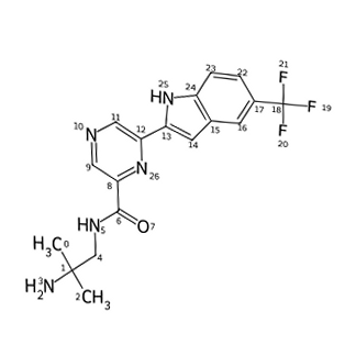 CC(C)(N)CNC(=O)c1cncc(-c2cc3cc(C(F)(F)F)ccc3[nH]2)n1